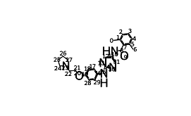 Cc1cccc(C)c1C(=O)Nc1cnc(Nc2ccc(OCCN3CCCC3)cc2)nc1